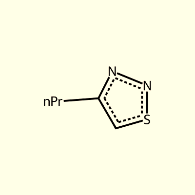 CCCc1csnn1